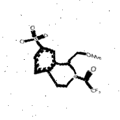 COCC1c2cc(S(=O)(=O)Cl)ccc2CCN1C(=O)C(F)(F)F